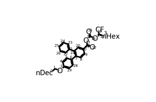 CCCCCCCCCCCOc1ccc(-c2ccc(C(=O)OC(=O)OC(CCCCCC)C(F)(F)F)cc2-c2ccccc2)cc1